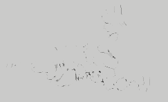 CCCCCCCC[N+](C)(C)CCC[Si](OC(CN1CCN(CC(O)CC)CC1)CS(=O)(=O)O)(OC(CN1CCN(CC(O)CS(=O)(=O)O)CC1)CS(=O)(=O)O)OC(CN1CCN(CC(O)CS(=O)(=O)O)CC1)CS(=O)(=O)O